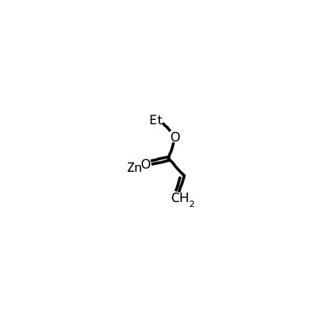 [CH2]COC(=O)C=C.[Zn]